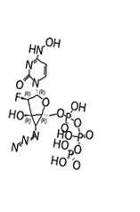 [N-]=[N+]=NC1[C@]2(COP(=O)(O)OP(=O)(O)OP(=O)(O)O)O[C@@H](n3ccc(NO)nc3=O)[C@H](F)[C@@]12O